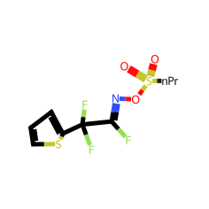 CCCS(=O)(=O)ON=C(F)C(F)(F)c1cccs1